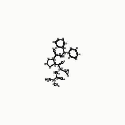 C[C@H](N)C(=O)N[C@H](C(=O)N1CCC[C@H]1C(=O)NC(c1ccccc1)c1ccccc1)C1CC1